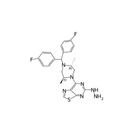 C[C@@H]1CN(c2nc(NN)nc3scnc23)[C@@H](C)CN1C(c1ccc(F)cc1)c1ccc(F)cc1